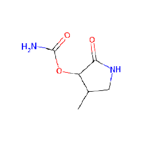 CC1CNC(=O)C1OC(N)=O